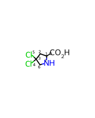 O=C(O)C1CC(Cl)(Cl)CN1